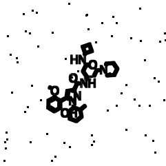 COc1cccc(O)c1-c1cc(C(=O)N[C@@H](CCN2CCCCC2)CC(=O)NC2CCC2)nn1C1C=CCCC1C